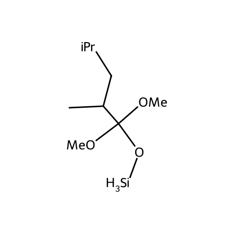 COC(OC)(O[SiH3])C(C)CC(C)C